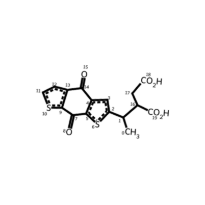 CC(c1cc2c(s1)C(=O)c1sccc1C2=O)C(CC(=O)O)C(=O)O